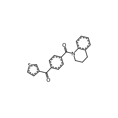 O=C(c1ccc(C(=O)N2CCCc3ccccc32)cc1)c1ccsc1